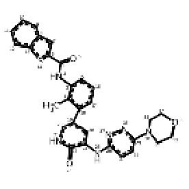 Cc1c(NC(=O)c2cc3ccccc3s2)cccc1-c1c[nH]c(=O)c(Nc2ccc(N3CCOCC3)nn2)c1